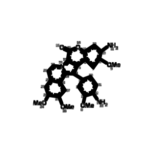 COc1cc(-c2c3c4cc(OC)c(N)cc4oc(=O)c3n3ccc4cc(OC)c(OC)cc4c23)ccc1N